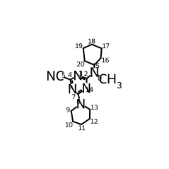 CN(c1nc(C#N)nc(N2CCCCC2)n1)C1CCCCC1